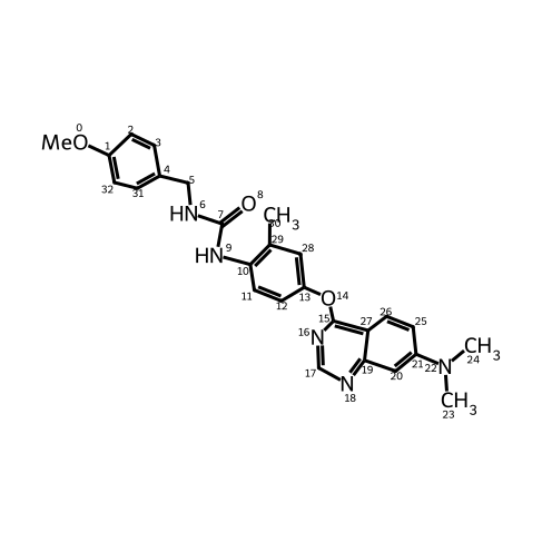 COc1ccc(CNC(=O)Nc2ccc(Oc3ncnc4cc(N(C)C)ccc34)cc2C)cc1